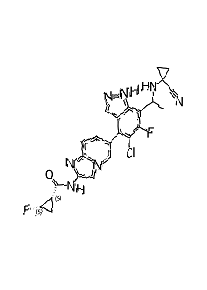 CC(NC1(C#N)CC1)c1c(F)c(Cl)c(-c2ccc3nc(NC(=O)[C@@H]4C[C@@H]4F)cn3c2)c2cn[nH]c12